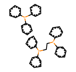 c1ccc(P(CCP(c2ccccc2)c2ccccc2)c2ccccc2)cc1.c1ccc(P(c2ccccc2)c2ccccc2)cc1